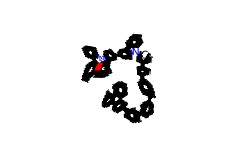 c1ccc(-c2ccccc2-c2ccc(-c3cccc(-c4cccc(-c5ccc(-c6ccc(-c7cccc(-n8c9ccccc9c9cc(-c%10ccc%11c(c%10)c%10ccccc%10n%11-c%10ccccc%10-c%10ccccc%10)ccc98)c7)cc6)cc5)c4)c3)cc2)cc1